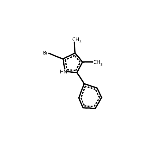 Cc1c(Br)[nH]c(-c2ccccc2)c1C